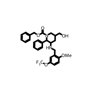 COc1ccc(OC(F)(F)F)cc1CNC1CC(CO)CN(C(=O)OCc2ccccc2)C1c1ccccc1